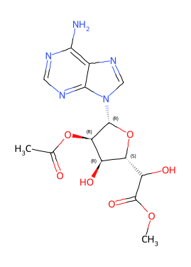 COC(=O)C(O)[C@H]1O[C@@H](n2cnc3c(N)ncnc32)[C@H](OC(C)=O)[C@@H]1O